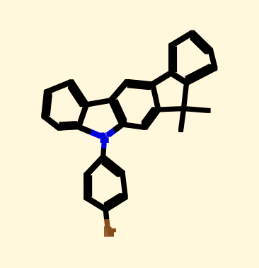 CC1(C)c2ccccc2-c2cc3c4ccccc4n(-c4ccc(Br)cc4)c3cc21